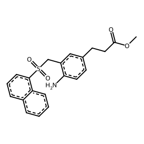 COC(=O)CCc1ccc(N)c(CS(=O)(=O)c2cccc3ccccc23)c1